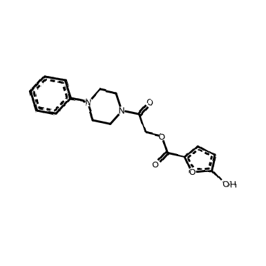 O=C(OCC(=O)N1CCN(c2ccccc2)CC1)c1ccc(O)o1